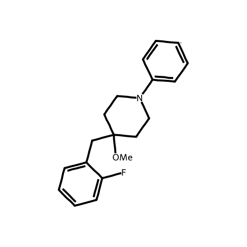 COC1(Cc2ccccc2F)CCN(c2cc[c]cc2)CC1